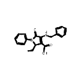 CCC1C(C(=O)O)=C(NCc2ccccc2)C(=O)N1c1ccccc1